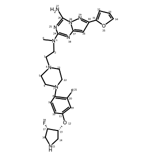 CN(CCN1CCN(c2ccc(O[C@@H]3CNC[C@@H]3F)cc2F)CC1)c1nc(N)n2nc(-c3ccco3)cc2n1